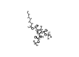 CCCCCCC(C)OC(=O)c1sc(NC(=O)OC(C)C)c(C(=O)OC(C)(C)C)c1C